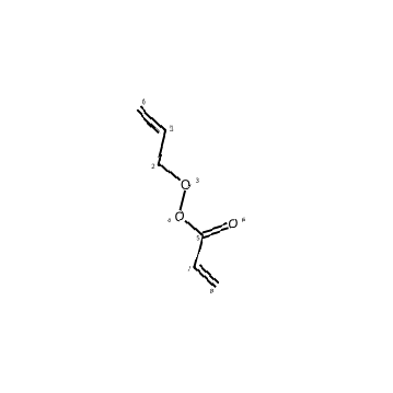 C=CCOOC(=O)C=C